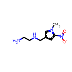 Cn1cc(CNCCN)cc1[N+](=O)[O-]